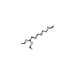 CCOCCOC[CH]CC(OCC)OCC